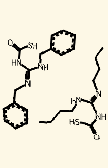 CCCC/N=C(\NCCCC)NC(=O)S.O=C(S)N/C(=N\Cc1ccccc1)NCc1ccccc1